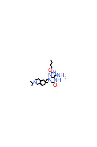 CCCCOc1nc(N)c2c(n1)N(CC1(C)C=C3CCN(C(C)C)CC3=CC1)CC(=O)N2